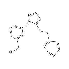 OCc1ccnc(-n2nccc2CCc2ccccc2)c1